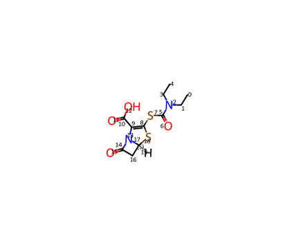 CCN(CC)C(=O)SC1=C(C(=O)O)N2C(=O)C[C@@H]2S1